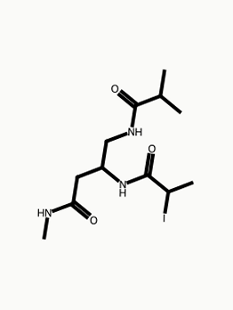 CNC(=O)CC(CNC(=O)C(C)C)NC(=O)C(C)I